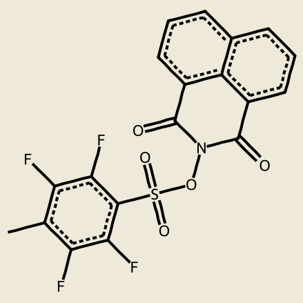 Cc1c(F)c(F)c(S(=O)(=O)ON2C(=O)c3cccc4cccc(c34)C2=O)c(F)c1F